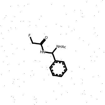 CC(=O)NC(NC(=O)CF)c1ccccc1